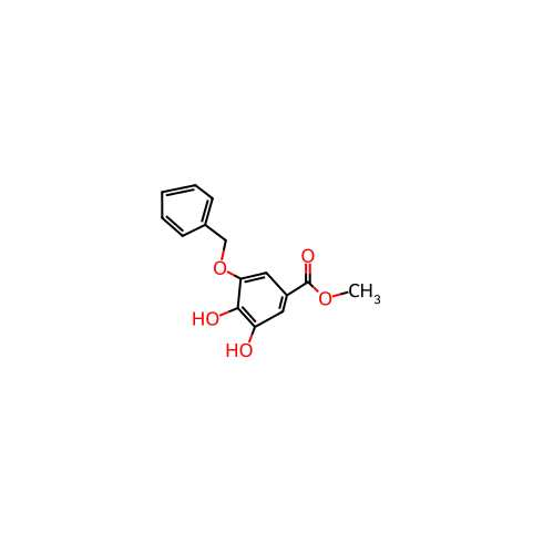 COC(=O)c1cc(O)c(O)c(OCc2ccccc2)c1